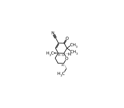 CC[C@@H]1CC[C@]2(C)C=C(C#N)C(=O)C(C)(C)[C@H]2O1